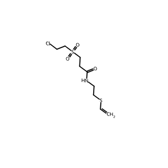 C=CSCCNC(=O)CCS(=O)(=O)CCCl